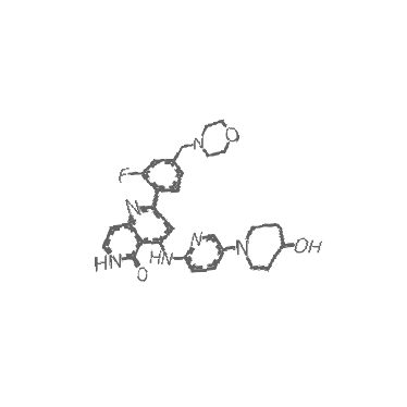 O=c1[nH]ccc2nc(-c3ccc(CN4CCOCC4)cc3F)cc(Nc3ccc(N4CCC(O)CC4)cn3)c12